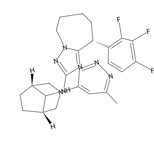 Cc1cc(N2C[C@H]3CC[C@@H](C2)C3Nc2nc3n(n2)CCCC[C@@H]3c2ccc(F)c(F)c2F)cnn1